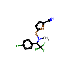 CN(Sc1ccc(C#N)s1)C(c1ccc(F)cc1)C(F)(F)F